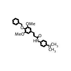 COc1cc(/C=C/C(=O)Nc2ccc(N(C)C)cc2)cc(OC)c1OCc1ccccc1